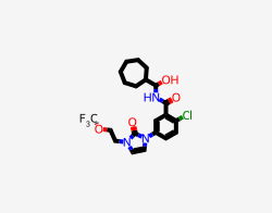 O=C(NC(O)C1CCCCCC1)c1cc(-n2ccn(CCOC(F)(F)F)c2=O)ccc1Cl